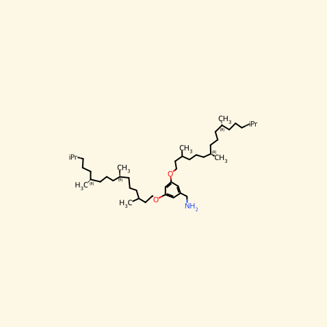 CC(C)CCC[C@@H](C)CCC[C@@H](C)CCCC(C)CCOc1cc(CN)cc(OCCC(C)CCC[C@H](C)CCC[C@H](C)CCCC(C)C)c1